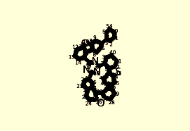 c1ccc(-c2ccc3c(c2)oc2cccc(-c4nc(-c5ccc6ccc7oc8ccccc8c7c6c5)nc(-c5cccc6sc7ccccc7c56)n4)c23)cc1